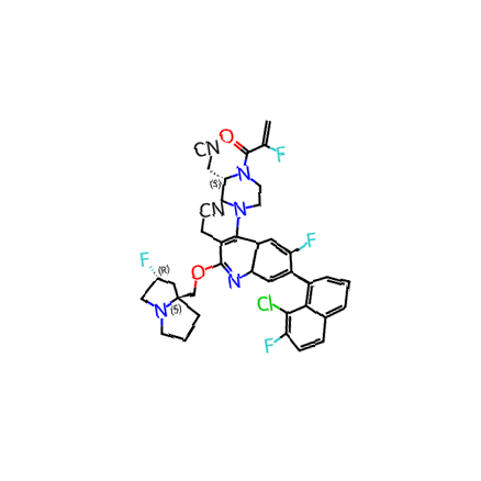 C=C(F)C(=O)N1CCN(C2=C(CC#N)C(OC[C@@]34CCCN3C[C@H](F)C4)=NC3C=C(c4cccc5ccc(F)c(Cl)c45)C(F)=CC23)C[C@@H]1CC#N